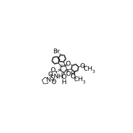 COc1cc(OC)c2c(c1)O[C@@]1(c3ccc(Br)cc3)[C@H](c3ccccc3)[C@@H](C(=O)NS(=O)(=O)N3CCCC3)[C@@H](O)[C@@]21O